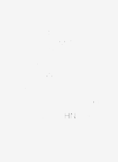 CC(=O)NCc1ccccc1OC[C@@H]1CO1